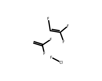 C=C(F)F.FC=C(F)F.FCl